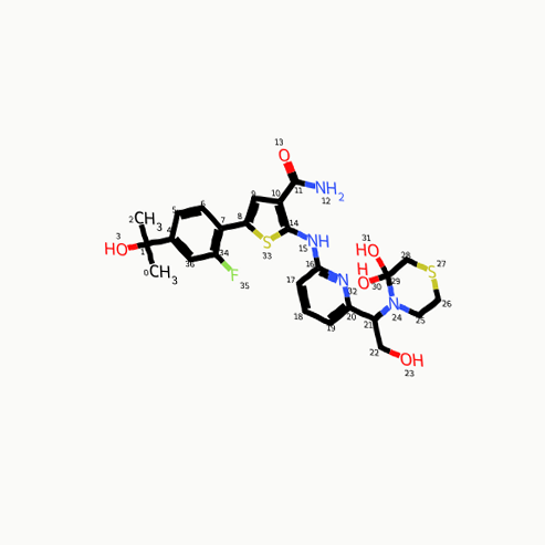 CC(C)(O)c1ccc(-c2cc(C(N)=O)c(Nc3cccc(C(CO)N4CCSCC4(O)O)n3)s2)c(F)c1